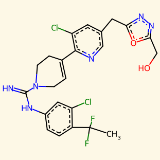 CC(F)(F)c1ccc(NC(=N)N2CC=C(c3ncc(Cc4nnc(CO)o4)cc3Cl)CC2)cc1Cl